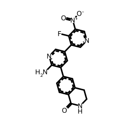 Nc1ncc(-c2cncc([N+](=O)[O-])c2F)cc1-c1ccc2c(c1)CCNC2=O